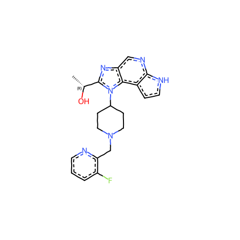 C[C@@H](O)c1nc2cnc3[nH]ccc3c2n1C1CCN(Cc2ncccc2F)CC1